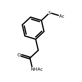 CC(=O)NC(=O)Cc1cccc(SC(C)=O)c1